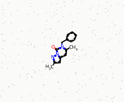 Cc1cc2cc(C)n(Cc3ccccc3)c(=O)n2n1